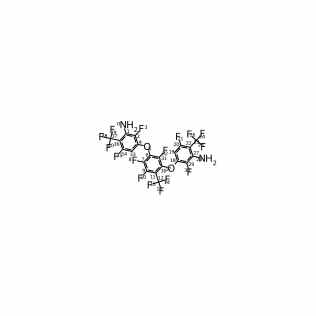 Nc1c(F)c(Oc2c(F)c(F)c(C(F)(F)F)c(Oc3cc(F)c(C(F)(F)F)c(N)c3F)c2F)cc(F)c1C(F)(F)F